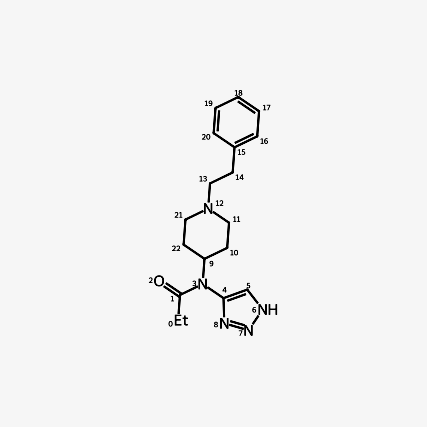 CCC(=O)N(c1c[nH]nn1)C1CCN(CCc2ccccc2)CC1